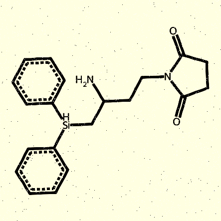 NC(CCN1C(=O)CCC1=O)C[SiH](c1ccccc1)c1ccccc1